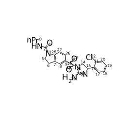 CCCNC(=O)N1CCc2cc(S(=O)(=O)N3CC(c4ccccc4Cl)N=C3N)ccc21